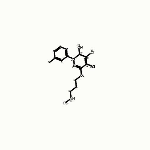 Cc1cccc(N2N=C(OCCCNCl)C(Cl)=C(Cl)C2O)c1